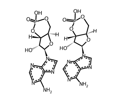 Nc1ncnc2c1ncn2[C@@H]1O[C@@H]2COP(=O)(O)O[C@H]2[C@H]1O.Nc1ncnc2c1ncn2[C@@H]1O[C@@H]2COP(=O)(O)O[C@H]2[C@H]1O